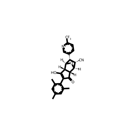 Cc1cc(C)c(C2=C(O)[C@@H]3[C@@H]4O[C@@H]([C@@H](C#N)[C@H]4c4ccc(C(F)(F)F)nc4)[C@@H]3C2=O)c(C)c1